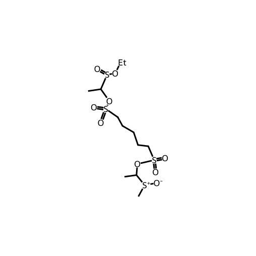 CCOS(=O)C(C)OS(=O)(=O)CCCCCS(=O)(=O)OC(C)[S+](C)[O-]